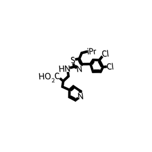 CC(C)Cc1sc(NCC(Cc2ccncc2)C(=O)O)nc1-c1ccc(Cl)c(Cl)c1